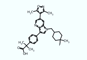 Cc1noc(C)c1-c1cnc2c(-c3ccc(C(C)(C)C(=O)O)cc3)cn(CC3CCC(C)(F)CC3)c2c1